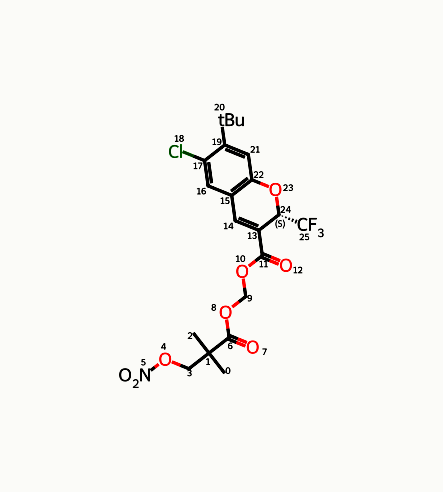 CC(C)(CO[N+](=O)[O-])C(=O)OCOC(=O)C1=Cc2cc(Cl)c(C(C)(C)C)cc2O[C@@H]1C(F)(F)F